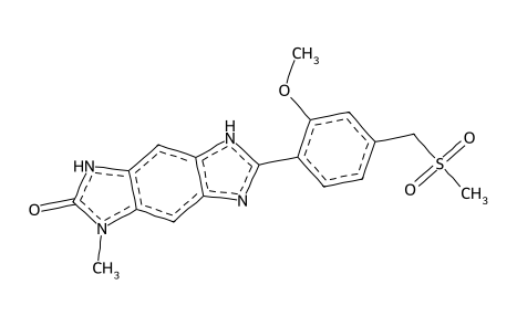 COc1cc(CS(C)(=O)=O)ccc1-c1nc2cc3c(cc2[nH]1)[nH]c(=O)n3C